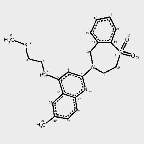 CSCCNc1cc(N2CCS(=O)(=O)c3ccccc3C2)nc2ccc(C)cc12